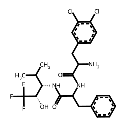 CC(C)[C@H](NC(=O)C(Cc1ccccc1)NC(=O)C(N)Cc1ccc(Cl)c(Cl)c1)[C@H](O)C(F)(F)F